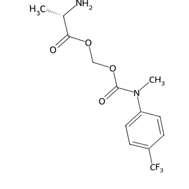 C[C@H](N)C(=O)OCOC(=O)N(C)c1ccc(C(F)(F)F)cc1